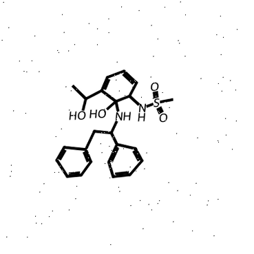 CC(O)C1=CC=CC(NS(C)(=O)=O)C1(O)NC(Cc1ccccc1)c1ccccc1